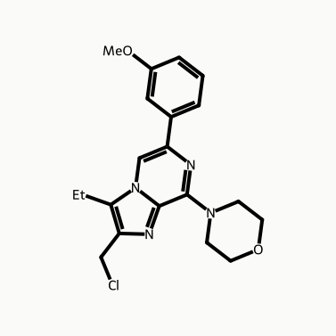 [CH2]Cc1c(CCl)nc2c(N3CCOCC3)nc(-c3cccc(OC)c3)cn12